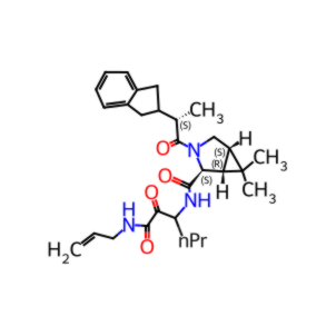 C=CCNC(=O)C(=O)C(CCC)NC(=O)[C@@H]1[C@@H]2[C@H](CN1C(=O)[C@@H](C)C1Cc3ccccc3C1)C2(C)C